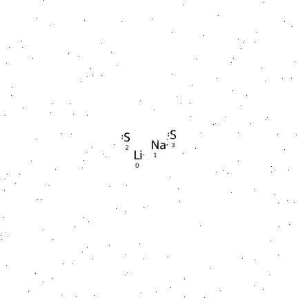 [Li].[Na].[S].[S]